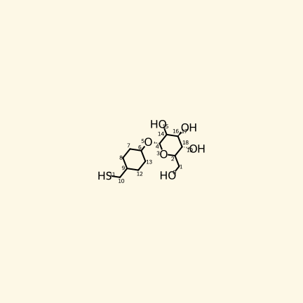 OCC1O[C@H](OC2CCC(CS)CC2)C(O)[C@@H](O)[C@@H]1O